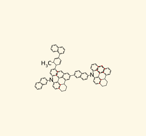 CC1C=C(c2cccc3ccccc23)C=CC1c1ccc(N(c2ccc3ccccc3c2)c2ccccc2-c2cccc3cc(-c4ccc5cc(N(c6ccccc6-c6cccc7cccc(C8CCCCC8)c67)c6cccc7ccccc67)ccc5c4)cc(C4CCCCC4)c23)cc1